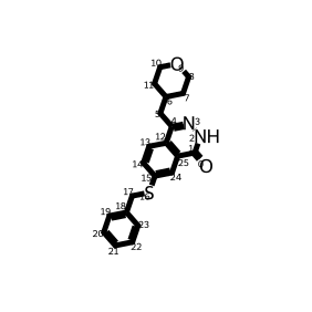 O=c1[nH]nc(CC2CCOCC2)c2ccc(SCc3ccccc3)cc12